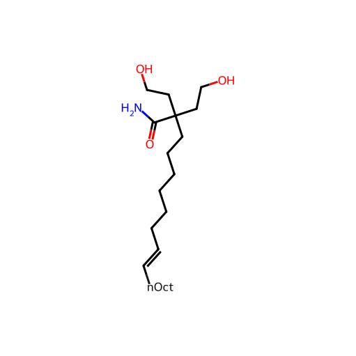 CCCCCCCCC=CCCCCCCC(CCO)(CCO)C(N)=O